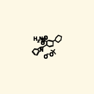 CC(C)(C)OC=O.NS(=O)(=O)c1cc(C2CCCCC2)ccc1-c1c2c3ccccc3n1-2